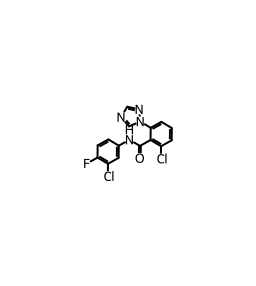 O=C(Nc1ccc(F)c(Cl)c1)c1c(Cl)cccc1-n1cncn1